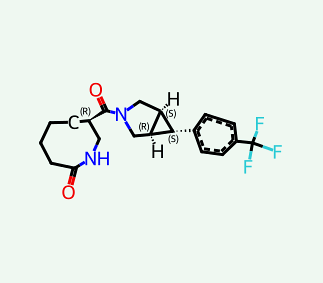 O=C1CCCC[C@@H](C(=O)N2C[C@@H]3[C@H](C2)[C@H]3c2ccc(C(F)(F)F)cc2)CN1